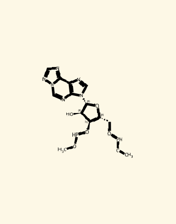 COPOC[C@H]1O[C@@H](n2cnc3c2ncn2ncnc32)[C@H](O)[C@@H]1OPOC